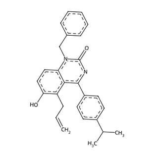 C=CCc1c(O)ccc2c1c(-c1ccc(C(C)C)cc1)nc(=O)n2Cc1ccccc1